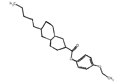 CCCCCC1CCC2CC(C(=O)Oc3ccc(OCC)cc3)CCC2C1